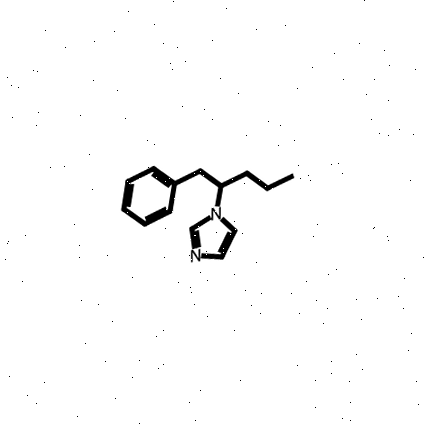 CCCC(Cc1ccccc1)n1ccnc1